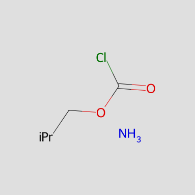 CC(C)COC(=O)Cl.N